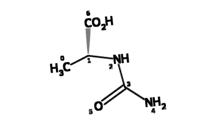 C[C@@H](NC(N)=O)C(=O)O